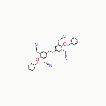 N#CCc1cc(CCc2cc(CC#N)c(OCc3ccccc3)c(CC#N)c2)cc(CC#N)c1OCc1ccccc1